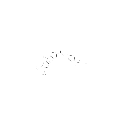 NC(=NO)c1ccc(CNC(=O)c2ccc3c(c2)[C@@H]2O[C@H]3c3cc(C4CC4)c(C4CC4)cc32)cc1